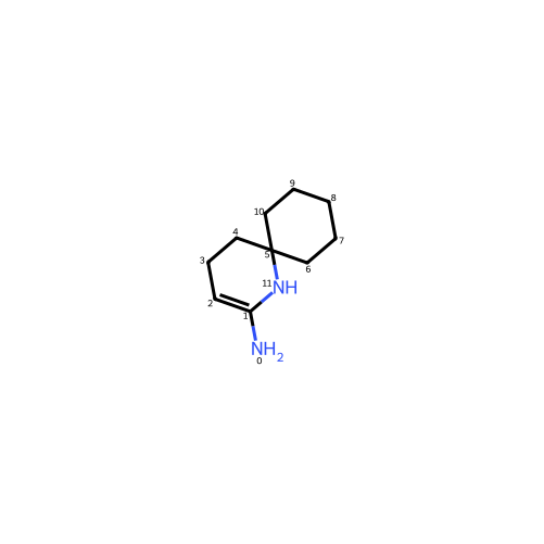 NC1=CCCC2(CCCCC2)N1